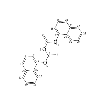 C=C(OC(=C)Oc1cccc2ccccc12)Oc1cccc2ccccc12